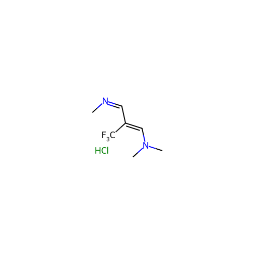 C/N=C\C(=C\N(C)C)C(F)(F)F.Cl